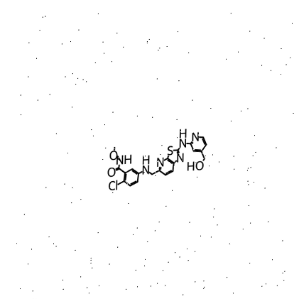 CONC(=O)c1cc(NCc2ccc3nc(Nc4cc(CO)ccn4)sc3n2)ccc1Cl